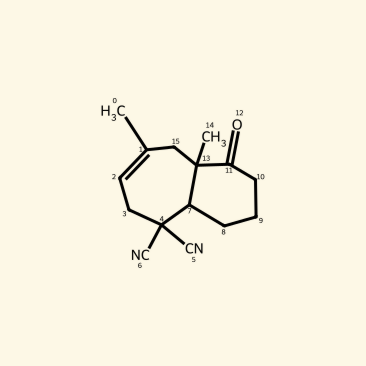 CC1=CCC(C#N)(C#N)C2CCCC(=O)C2(C)C1